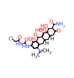 CN(C)c1cc(NC(=O)NC(=O)CCl)c(O)c2c1C[C@H]1C[C@H]3CC(=O)C(C(N)=O)C(O)[C@@]3(O)C(O)=C1C2=O